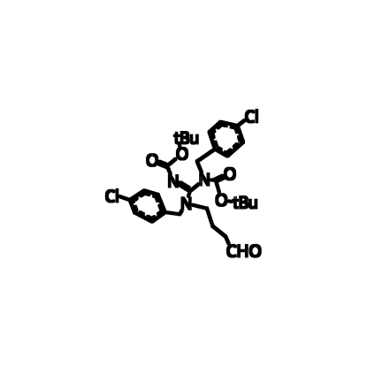 CC(C)(C)OC(=O)N=C(N(CCCC=O)Cc1ccc(Cl)cc1)N(Cc1ccc(Cl)cc1)C(=O)OC(C)(C)C